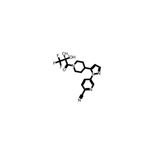 C[C@@](O)(C(=O)N1CCC(c2ccnn2-c2ccc(C#N)nc2)CC1)C(F)(F)F